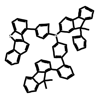 CC1(C)c2ccccc2-c2cccc(-c3ccccc3-c3ccc(N(c4ccc(-c5cccc6sc7c8ccccc8ccc7c56)cc4)c4ccc5c(c4)C(C)(c4ccccc4)c4ccccc4-5)cc3)c21